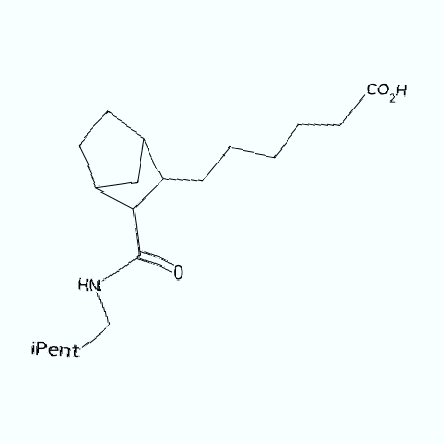 CCCC(C)CNC(=O)C1C2CCC(C2)C1CCCCCC(=O)O